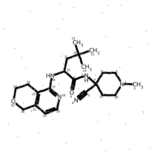 CN1CCC(C#N)(NC(=O)C(CC(C)(C)C)Nc2nccc3c2CCOC3)CC1